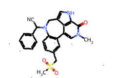 Cn1cc2c3c(c[nH]c3c1=O)CN(C(C#N)c1ccccc1)c1ccc(CS(C)(=O)=O)cc1-2